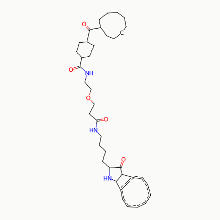 O=C(CCOCCNC(=O)C1CCC(C(=O)C2CCCCCCCC2)CC1)NCCCCC1NC2c3cccccccc(c3)C2C1=O